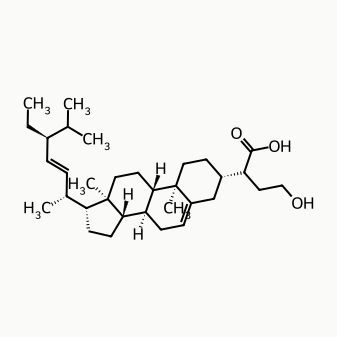 CC[C@H](/C=C/[C@@H](C)[C@H]1CC[C@H]2[C@@H]3CC=C4C[C@@H](C(CCO)C(=O)O)CC[C@]4(C)[C@H]3CC[C@]12C)C(C)C